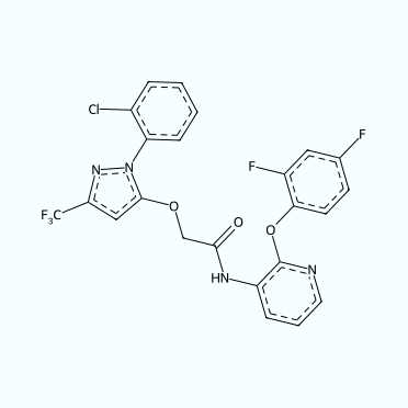 O=C(COc1cc(C(F)(F)F)nn1-c1ccccc1Cl)Nc1cccnc1Oc1ccc(F)cc1F